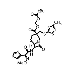 CON=C(C(=O)NC1C(=O)N2CC(CSc3nc(C)ns3)(C(=O)OCOC(=O)C(C)(C)C)CS[C@H]12)c1cscn1